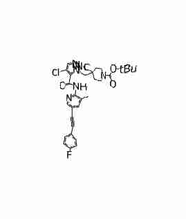 Cc1cc(C#Cc2ccc(F)cc2)cnc1NC(=O)c1c(Cl)cnn1CC1(C#N)CCN(C(=O)OC(C)(C)C)CC1